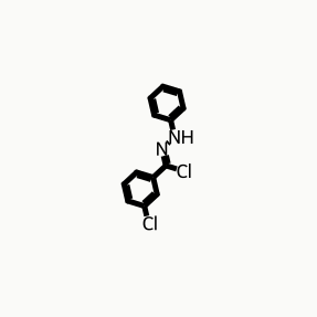 ClC(=NNc1ccccc1)c1cccc(Cl)c1